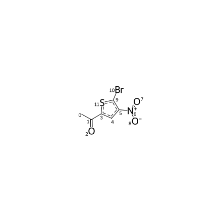 CC(=O)c1cc([N+](=O)[O-])c(Br)s1